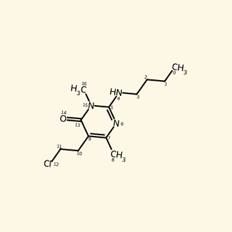 CCCCNc1nc(C)c(CCCl)c(=O)n1C